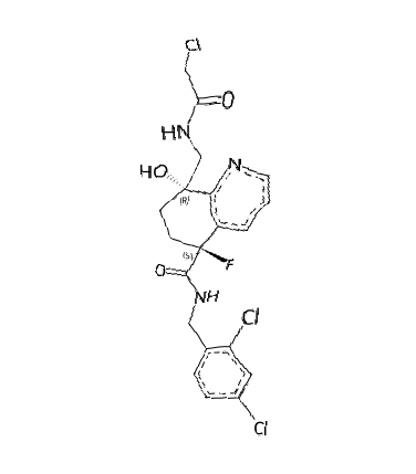 O=C(CCl)NC[C@]1(O)CC[C@@](F)(C(=O)NCc2ccc(Cl)cc2Cl)c2cccnc21